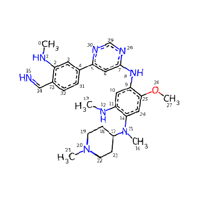 CNc1cc(-c2cc(Nc3cc(NC)c(N(C)C4CCN(C)CC4)cc3OC)ncn2)ccc1C=N